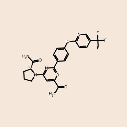 CC(=O)c1cc(N2CCC[C@H]2C(N)=O)nc(-c2ccc(Oc3ccc(C(F)(F)F)cn3)cc2)n1